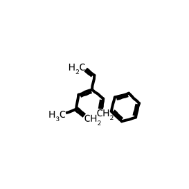 C=CC(C=C)=CC(=C)C.c1ccccc1